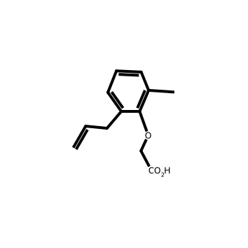 C=CCc1cccc(C)c1OCC(=O)O